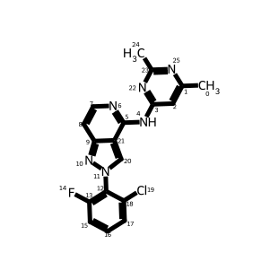 Cc1cc(Nc2nccc3nn(-c4c(F)cccc4Cl)cc23)nc(C)n1